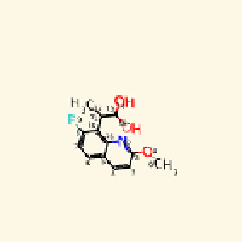 COc1ccc2ccc(F)c(C(C)C(O)O)c2n1